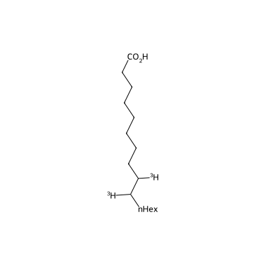 [3H]C(CCCCCC)C([3H])CCCCCCCC(=O)O